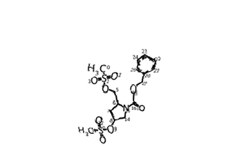 CS(=O)(=O)OCC1CC(OS(C)(=O)=O)CN1C(=O)OCc1ccccc1